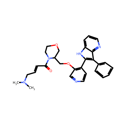 CN(C)C/C=C/C(=O)N1CCOCC1COc1cnccc1-c1[nH]c2cccnc2c1-c1ccccc1